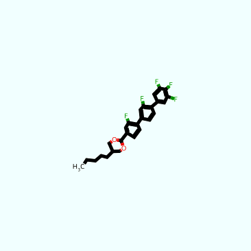 CCCCCC1COC(c2ccc(-c3ccc(-c4cc(F)c(F)c(F)c4)c(F)c3)c(F)c2)OC1